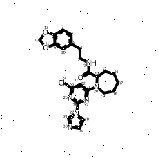 O=C(NCCc1ccc2c(c1)OCO2)C1CCCCCN1c1cc(Cl)nc(-n2ccnc2)n1